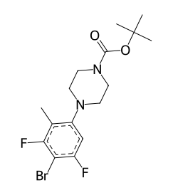 Cc1c(N2CCN(C(=O)OC(C)(C)C)CC2)cc(F)c(Br)c1F